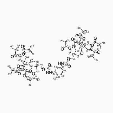 C=C(C)C(=O)OCC(COCC(COC(=O)C(=C)C)(COC(=O)C(=C)C)COC(=O)C(=C)C)(COC(=O)Nc1ccc(C)c(NC(=O)OCC(COCC(COC(=O)C(=C)C)(COC(=O)C(=C)C)COC(=O)C(=C)C)(COC(=O)C(=C)C)COC(=O)C(=C)C)c1)COC(=O)C(=C)C